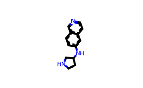 c1cc2cc(NC3CCNC3)ccc2cn1